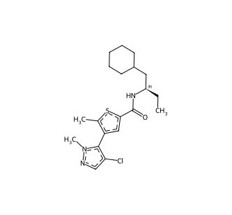 CC[C@H](CC1CCCCC1)NC(=O)c1cc(-c2c(Cl)cnn2C)c(C)s1